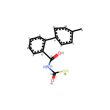 Cc1ccc(-c2ccccc2C(=O)NC(=O)S)cc1